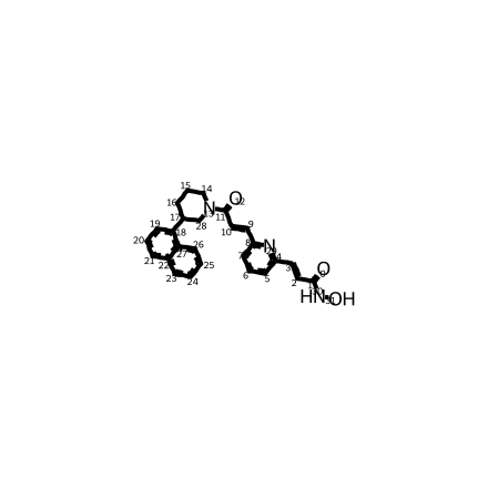 O=C(/C=C/c1cccc(/C=C/C(=O)N2CCCC(c3cccc4ccccc34)C2)n1)NO